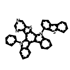 c1ccc(-n2c3ccccc3c3c4c5ccccc5n(-c5cccc6c5sc5ccccc56)c4c4sc5cncnc5c4c32)cc1